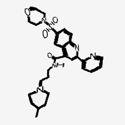 CC1CCN(CCCNC(=O)c2cc(-c3ccccn3)nc3ccc(S(=O)(=O)N4CCOCC4)cc23)CC1